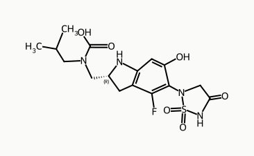 CC(C)CN(C[C@H]1Cc2c(cc(O)c(N3CC(=O)NS3(=O)=O)c2F)N1)C(=O)O